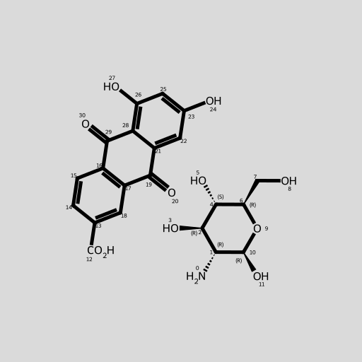 N[C@@H]1[C@@H](O)[C@H](O)[C@@H](CO)O[C@H]1O.O=C(O)c1ccc2c(c1)C(=O)c1cc(O)cc(O)c1C2=O